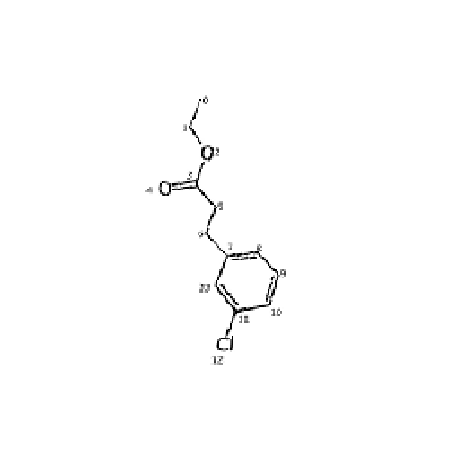 CCOC(=O)CCc1cccc(Cl)c1